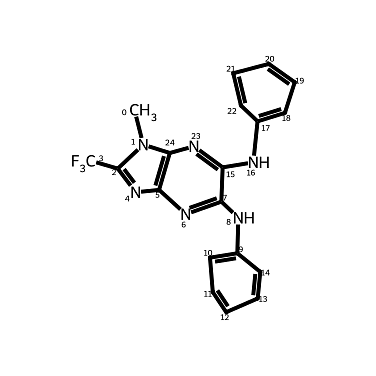 Cn1c(C(F)(F)F)nc2nc(Nc3ccccc3)c(Nc3ccccc3)nc21